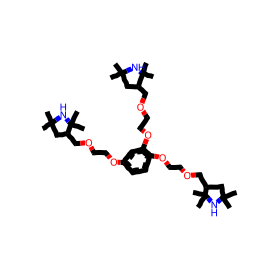 CC1(C)CC(COCCOc2ccc(OCCOCC3CC(C)(C)NC3(C)C)c(OCCOCC3CC(C)(C)NC3(C)C)c2)C(C)(C)N1